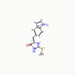 CCSC1=N/C(=C\c2ccc3c(ccn3C)c2)C(=O)N1